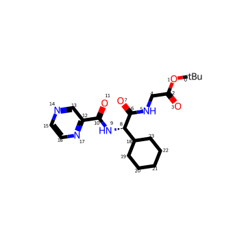 CC(C)(C)OC(=O)CNC(=O)[C@@H](NC(=O)c1cnccn1)C1CCCCC1